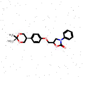 C[C@]1(C(=O)O)OC[C@@H](c2ccc(OCC3CN(c4ccccc4)C(=O)O3)cc2)CO1